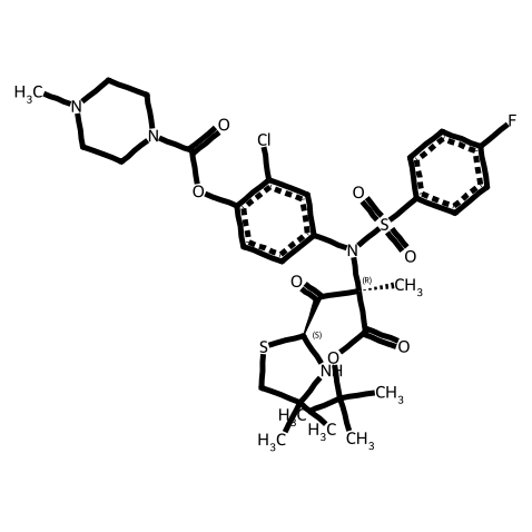 CN1CCN(C(=O)Oc2ccc(N([C@@](C)(C(=O)OC(C)(C)C)C(=O)[C@H]3NC(C)(C)CS3)S(=O)(=O)c3ccc(F)cc3)cc2Cl)CC1